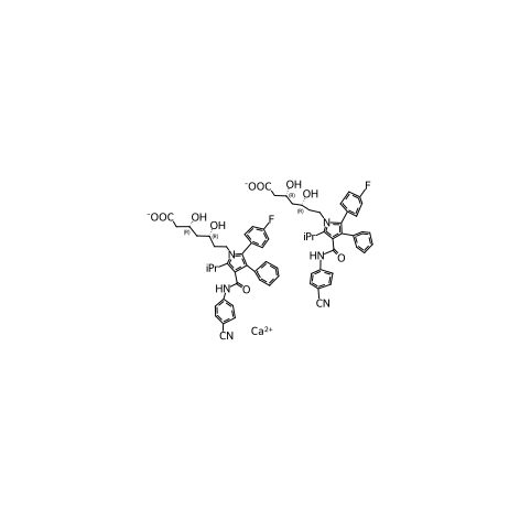 CC(C)c1c(C(=O)Nc2ccc(C#N)cc2)c(-c2ccccc2)c(-c2ccc(F)cc2)n1CC[C@@H](O)C[C@@H](O)CC(=O)[O-].CC(C)c1c(C(=O)Nc2ccc(C#N)cc2)c(-c2ccccc2)c(-c2ccc(F)cc2)n1CC[C@@H](O)C[C@@H](O)CC(=O)[O-].[Ca+2]